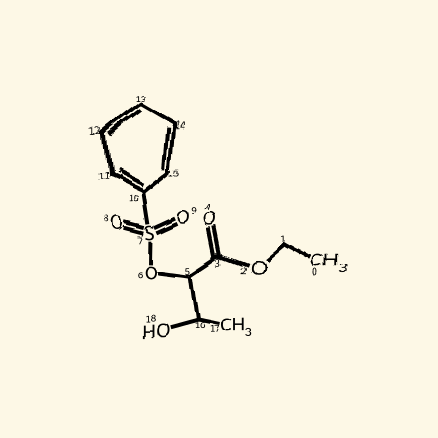 CCOC(=O)C(OS(=O)(=O)c1ccccc1)C(C)O